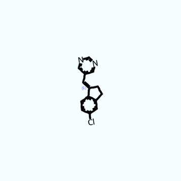 Clc1ccc2c(c1)CC/C2=C\c1cncnc1